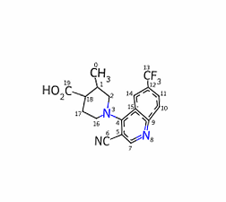 CC1CN(c2c(C#N)cnc3ccc(C(F)(F)F)cc23)CCC1C(=O)O